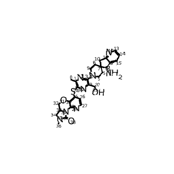 Cc1nc(N2CCC3(CC2)Cc2ncccc2[C@H]3N)c(CO)nc1Sc1ccnc2c1OCC1CN(C)C(=O)N21